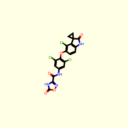 O=C(Nc1cc(Cl)c(Oc2ccc3c(c2Cl)C2(CC2)C(=O)N3)c(Cl)c1)c1noc(=O)[nH]1